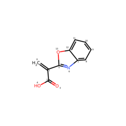 C=C(C(=O)O)c1nc2ccccc2o1